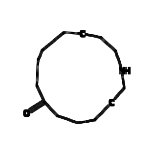 O=C1CCCCCCCNCCCCC1